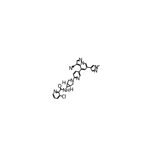 Cn1cc(-c2cc(-c3ccc(N4C[C@@H]5[C@H](C4)[C@H]5NC(=O)c4ncccc4Cl)nc3)c3c(C#N)cnn3c2)cn1